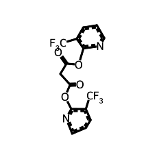 O=C(CC(=O)Oc1ncccc1C(F)(F)F)Oc1ncccc1C(F)(F)F